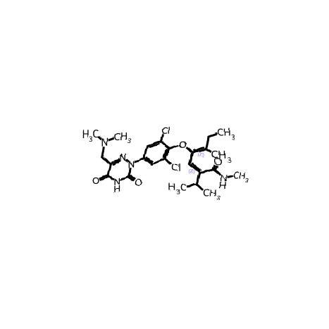 CC/C(C)=C(/C=C(\C(=O)NC)C(C)C)Oc1c(Cl)cc(-n2nc(CN(C)C)c(=O)[nH]c2=O)cc1Cl